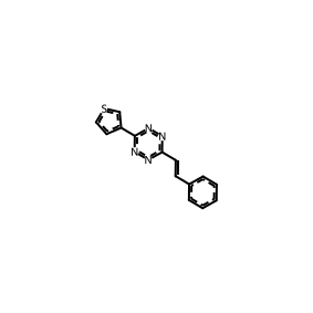 C(=C\c1nnc(-c2ccsc2)nn1)/c1ccccc1